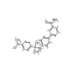 C[S+]([O-])c1ccc(C(C)(C)Nc2ncc(-c3cccc(C(N)=O)c3)cn2)cc1